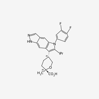 CC(C)c1c([C@H]2CC[C@](C)(C(=O)O)OC2)c2cc3[nH]ncc3cc2n1-c1ccc(F)c(F)c1